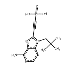 CC(C)(C)Cn1c(C#CP(=O)(O)O)nc2c(N)ncnc21